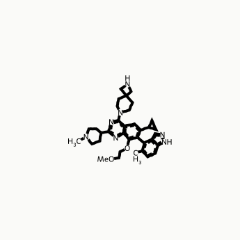 COCCOc1c(-c2c(C)ccc3[nH]ncc23)c(C2CC2)cc2c(N3CCC4(CC3)CNC4)nc(C3CCN(C)CC3)nc12